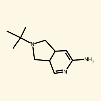 CC(C)(C)N1CC2C=NC(N)=CC2C1